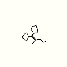 CCCC(C)=C(C1CCCCC1)C1CCCCC1